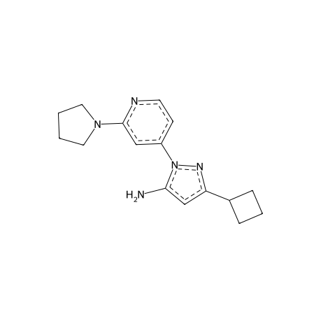 Nc1cc(C2CCC2)nn1-c1ccnc(N2CCCC2)c1